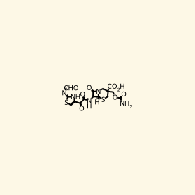 NC(=O)OCC1(C(=O)O)CS[C@@H]2C(NC(=O)C(=O)c3csc(=NC=O)[nH]3)C(=O)N2C1